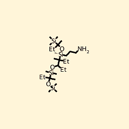 CCC(O[Si](C)(C)C(C)(CC)O[Si](C)(C)C)C(C)(CC)[Si@](C)(CCCN)OC(C)(CC)[Si](C)(C)C